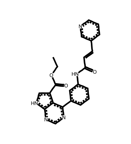 CCOC(=O)c1c[nH]c2ncnc(-c3cccc(NC(=O)/C=C/c4cccnc4)c3)c12